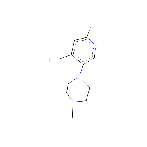 Cc1cc(Cl)ncc1N1CCN(C)CC1